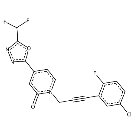 O=c1cc(-c2nnc(C(F)F)o2)ccn1CC#Cc1cc(Cl)ccc1F